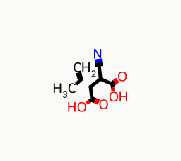 C=CC.N#CC(CC(=O)O)C(=O)O